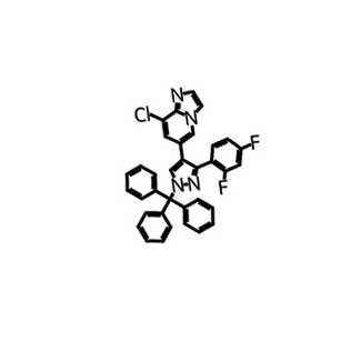 Fc1ccc(-c2nn(C(c3ccccc3)(c3ccccc3)c3ccccc3)cc2-c2cc(Cl)c3nccn3c2)c(F)c1